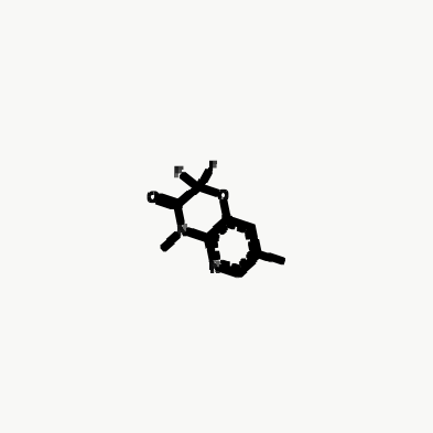 Cc1cnc2c(c1)OC(F)(F)C(=O)N2C